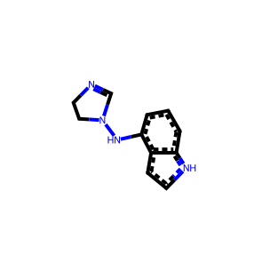 C1=NCCN1Nc1cccc2[nH]ccc12